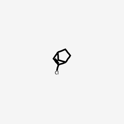 ClC1=CC2CCC1C2